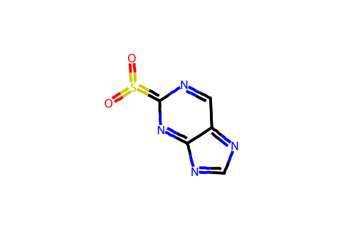 O=S(=O)=C1N=CC2=NC=NC2=N1